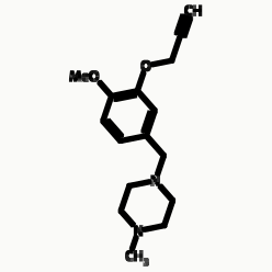 C#CCOc1cc(CN2CCN(C)CC2)ccc1OC